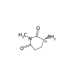 B[C@H]1CCC(=O)N(C)C1=O